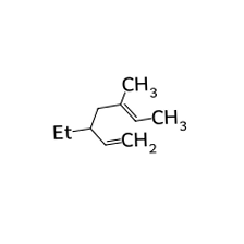 C=CC(CC)CC(C)=CC